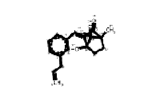 C=CCc1cccc(C=C2C(=O)C3(C)CCC2(O)C3(C)C)c1